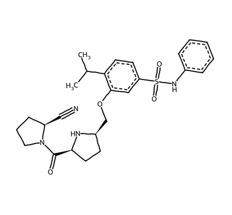 CC(C)c1ccc(S(=O)(=O)Nc2ccccc2)cc1OC[C@H]1CC[C@@H](C(=O)N2CCC[C@H]2C#N)N1